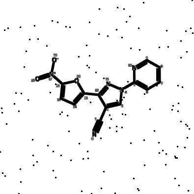 N#Cc1cn(-c2ccccn2)nc1-c1ccc([N+](=O)[O-])o1